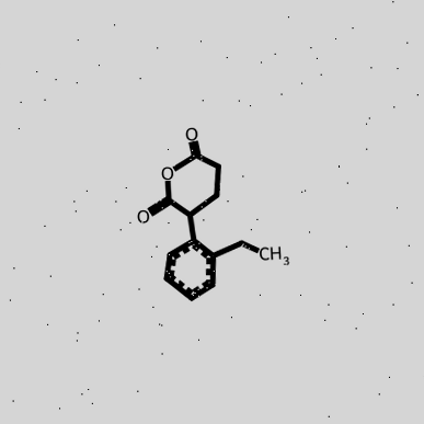 CCc1ccccc1C1CCC(=O)OC1=O